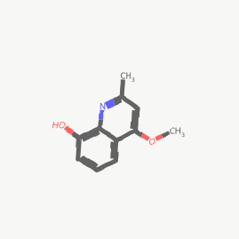 COc1cc(C)nc2c(O)cccc12